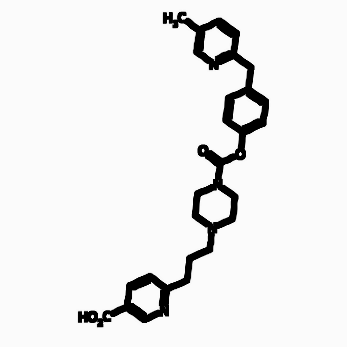 Cc1ccc(Cc2ccc(OC(=O)N3CCN(CCCc4ccc(C(=O)O)cn4)CC3)cc2)nc1